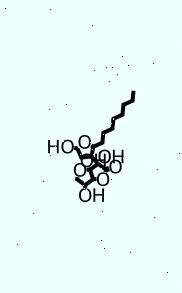 CCCCCCCCC1OC(O)CC1C1(O)C(=O)OC2C(O)COC21O